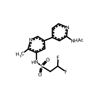 CC(=O)Nc1cc(-c2cnc(C)c(NS(=O)(=O)CC(F)F)c2)ccn1